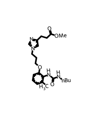 CCCCNC(=O)Nc1c(C)cccc1OCCCn1cnc(CCC(=O)OC)c1